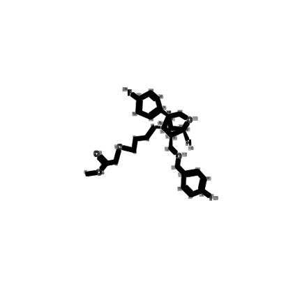 COC(=O)COCCCC[C@H]1[C@H](COCc2ccc(F)cc2)[C@@H]2C[C@@]1(c1ccc(F)cc1)CO2